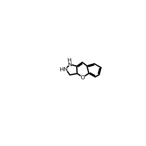 C1=C2NNCC2Oc2ccccc21